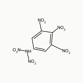 O=[N+]([O-])N[N+](=O)[O-].O=[N+]([O-])c1cccc([N+](=O)[O-])c1[N+](=O)[O-]